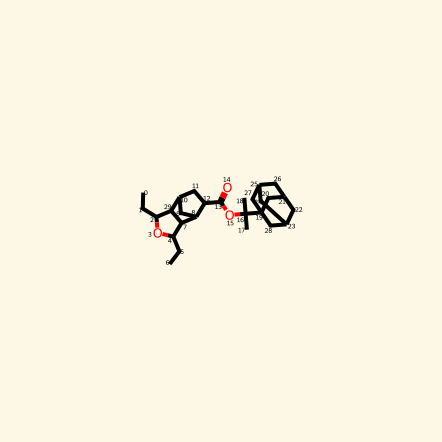 CCC1OC(CC)C2C3CC(CC3C(=O)OC(C)(C)C34CC5CC(CC(C5)C3)C4)C12